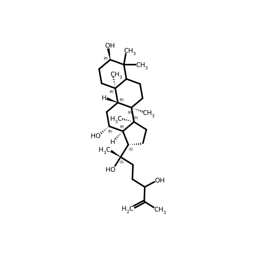 C=C(C)C(O)CC[C@](C)(O)[C@H]1CC[C@@]2(C)[C@@H]1[C@H](O)C[C@@H]1[C@@]3(C)CC[C@@H](O)C(C)(C)C3CC[C@]12C